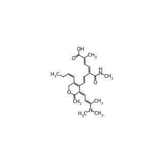 C=C1OCC(/C=C\CC)=C(/C=C/C(=C\C=C(/C)C(=O)O)C(=O)NC)C/1=C/C=C(\C)N(C)C